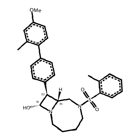 COc1ccc(-c2ccc([C@@H]3[C@@H](O)N4CCCCN(S(=O)(=O)c5ccccc5C)C[C@@H]34)cc2)c(C)c1